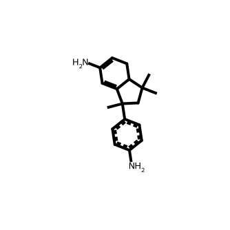 CC1(c2ccc(N)cc2)CC(C)(C)C2CC=C(N)C=C21